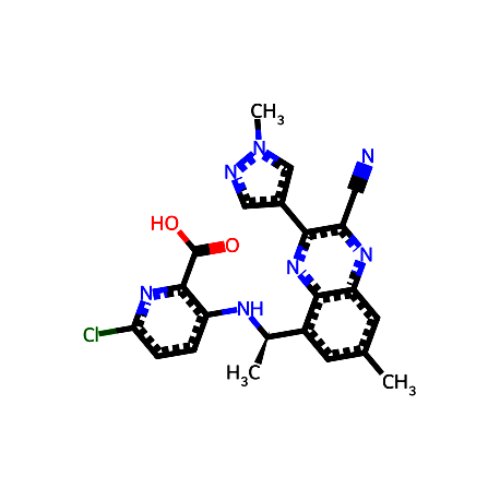 Cc1cc([C@@H](C)Nc2ccc(Cl)nc2C(=O)O)c2nc(-c3cnn(C)c3)c(C#N)nc2c1